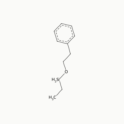 CC[SiH2]OCCc1ccccc1